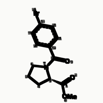 COC(=O)[C@@H]1CCCN1C(=O)c1ccc(Br)cc1